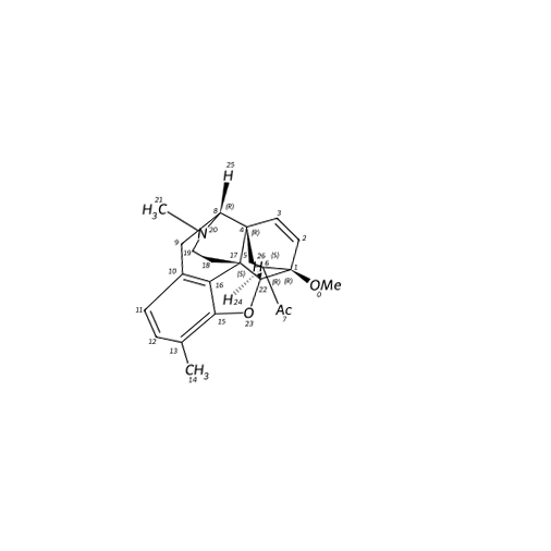 CO[C@]12C=C[C@@]3(C[C@@H]1C(C)=O)[C@H]1Cc4ccc(C)c5c4[C@@]3(CCN1C)[C@H]2O5